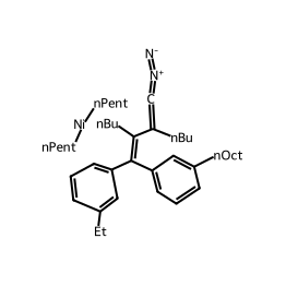 CCCCCCCCc1cccc(C(=C(CCCC)C(=C=[N+]=[N-])CCCC)c2cccc(CC)c2)c1.CCCC[CH2][Ni][CH2]CCCC